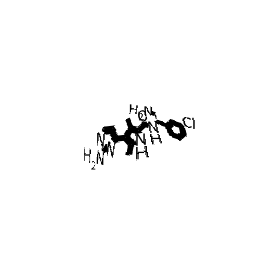 Cc1[nH]c(C(=O)N[C@H](CN)c2cccc(Cl)c2)c(C)c1-c1ccnc(N)n1